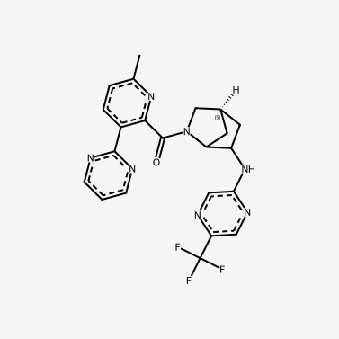 Cc1ccc(-c2ncccn2)c(C(=O)N2C[C@H]3CC(Nc4cnc(C(F)(F)F)cn4)C2C3)n1